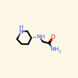 NC(=O)CN[C@@H]1CCCNC1